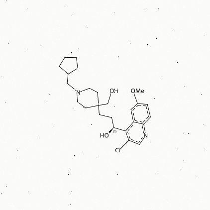 COc1ccc2ncc(Cl)c([C@@H](O)CCC3(CO)CCN(CC4CCCC4)CC3)c2c1